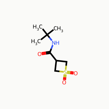 CC(C)(C)NC(=O)C1CS(=O)(=O)C1